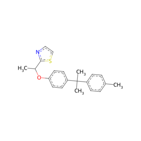 Cc1ccc(C(C)(C)c2ccc(OC(C)c3nccs3)cc2)cc1